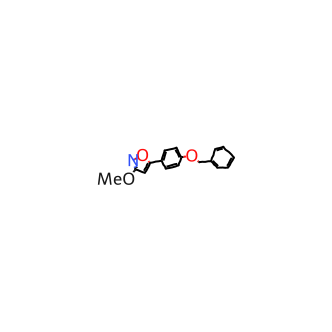 COc1cc(-c2ccc(OCc3ccccc3)cc2)on1